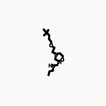 CCCNC[C@H]1CN(CCOCCCC(C)(C)C)CCO1